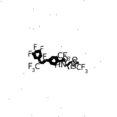 C[C@H](CS(=O)(=O)CC(F)(F)F)NC(=O)c1ccc(/C(F)=C/C(c2cc(F)c(F)c(F)c2)C(F)(F)F)cc1C(F)(F)F